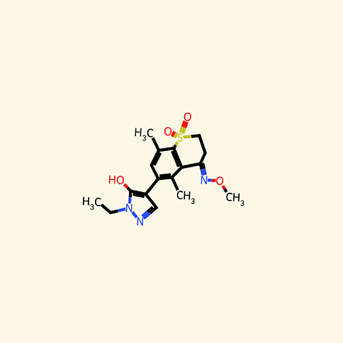 CCn1ncc(-c2cc(C)c3c(c2C)C(=NOC)CCS3(=O)=O)c1O